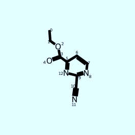 CCOC(=O)c1ccnc(C#N)n1